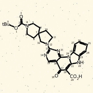 CC(C)(C)OC(=O)N1CCC2(CC1)CCN(c1ncc3c(=O)c(C(=O)O)c4[nH]c5ccccc5n4c3n1)C2